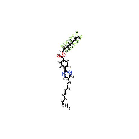 CCCCCCCCCc1cnc(-c2ccc(C(=O)OCC(F)(F)C(F)(F)C(F)(F)C(F)(F)C(F)(F)C(F)F)cc2)nc1